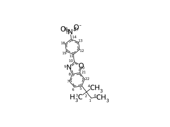 CCC(C)(C)c1ccc2nc(-c3ccc([N+](=O)[O-])cc3)oc2c1